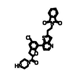 O=C([C@H]1Cc2cc(Cl)cc(-c3ccnc4cc(CCN5C(=O)c6ccccc6C5=O)sc34)c2O1)N1CCNCC1